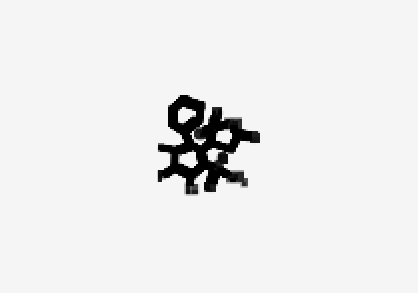 CCc1c(F)c(C)c(-c2ccccc2)c(C2CC(=O)NS2(=O)=O)c1S(N)(=O)=O